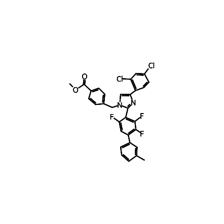 COC(=O)c1ccc(Cn2cc(-c3ccc(Cl)cc3Cl)nc2-c2c(F)cc(-c3cccc(C)c3)c(F)c2F)cc1